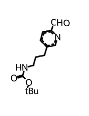 CC(C)(C)OC(=O)NCCCc1ccc(C=O)nc1